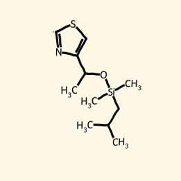 CC(C)C[Si](C)(C)OC(C)c1cs[c]n1